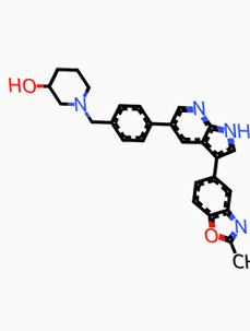 Cc1nc2cc(-c3c[nH]c4ncc(-c5ccc(CN6CCCC(O)C6)cc5)cc34)ccc2o1